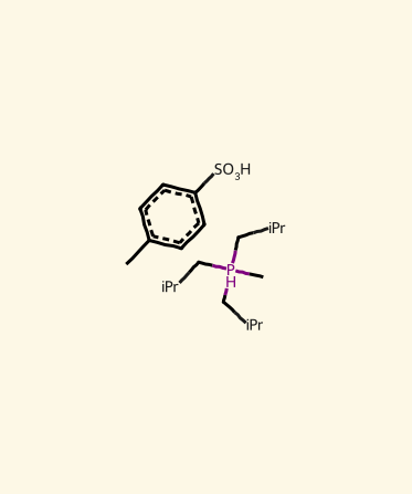 CC(C)C[PH](C)(CC(C)C)CC(C)C.Cc1ccc(S(=O)(=O)O)cc1